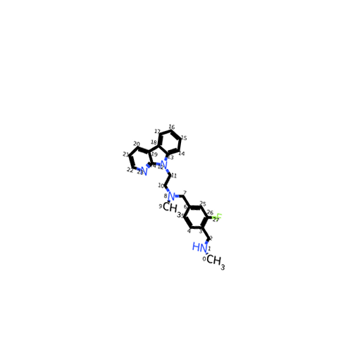 CNCc1ccc(CN(C)CCn2c3ccccc3c3cccnc32)cc1F